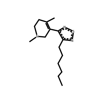 CCCCCCc1nsnc1C1=C(C)CCN(C)C1